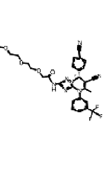 COCCOCCOCC(=O)Nc1nc2n(n1)[C@H](c1ccc(C#N)cc1)C(C#N)=C(C)N2c1cccc(C(F)(F)F)c1